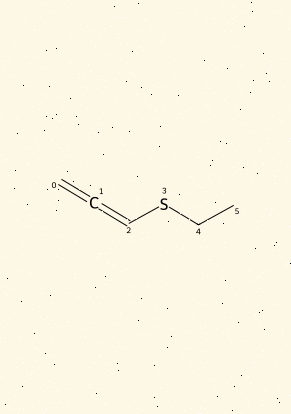 C=C=CSCC